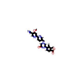 COc1cc(-c2ccc(CN(CCc3ccc4c(c3C)COC4=O)CC(N)=O)cn2)ncc1C#N